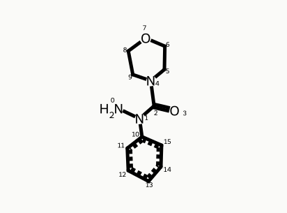 NN(C(=O)N1CCOCC1)c1ccccc1